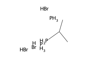 Br.Br.Br.CC(C)P.P.P